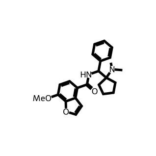 COc1ccc(C(=O)NC(c2ccccc2)C2(N(C)C)CCCC2)c2ccoc12